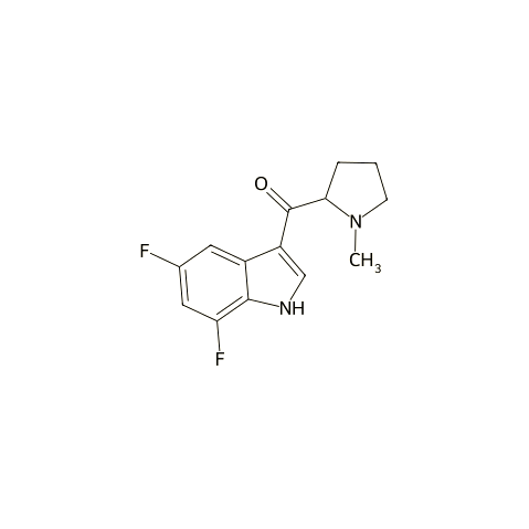 CN1CCCC1C(=O)c1c[nH]c2c(F)cc(F)cc12